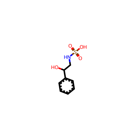 O=S(=O)(O)NCC(O)c1ccccc1